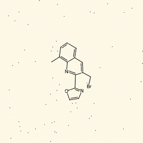 Cc1cccc2cc(CBr)c(-c3ncco3)nc12